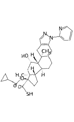 C[C@]12Cc3cnn(-c4ccccn4)c3C=C1CC[C@@H]1[C@@H]2[C@@H](O)C[C@@]2(C)[C@H]1CC[C@]2(OC(=O)C1CC1)C(=O)S